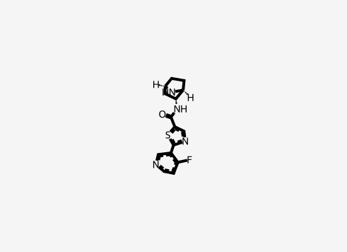 O=C(N[C@@H]1C[C@H]2CC[C@@H]1N2)c1cnc(-c2cnccc2F)s1